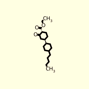 CCCCCC1CCC([C@@H]2CC[C@@H](C(=O)OCC)C(=O)C2)CC1